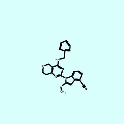 COc1cc2c(C#N)cccc2n1-c1nc2c(c(NCc3ccccc3)n1)COCC2